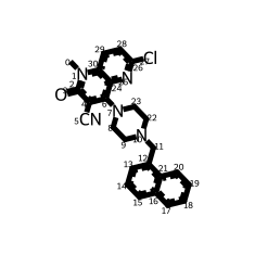 Cn1c(=O)c(C#N)c(N2CCN(Cc3cccc4ccccc34)CC2)c2nc(Cl)ccc21